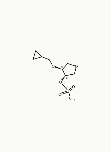 O=S(=O)(O[C@@H]1COC[C@@H]1OCC1CC1)C(F)(F)F